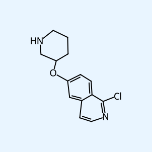 Clc1nccc2cc(OC3CCCNC3)ccc12